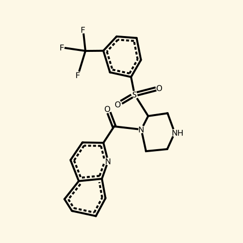 O=C(c1ccc2ccccc2n1)N1CCNCC1S(=O)(=O)c1cccc(C(F)(F)F)c1